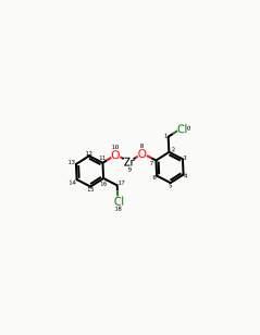 ClCc1ccccc1[O][Zr][O]c1ccccc1CCl